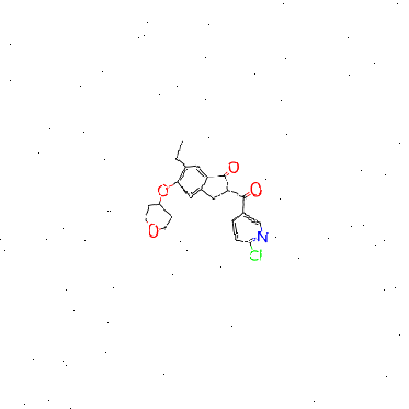 CCc1cc2c(cc1OC1CCOCC1)CC(C(=O)c1ccc(Cl)nc1)C2=O